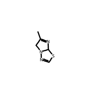 CC1=NC2SC=NN2C1